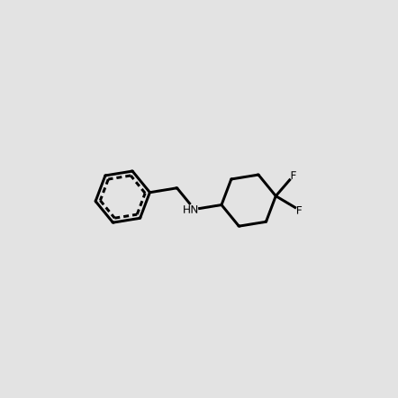 FC1(F)CCC(NCc2ccccc2)CC1